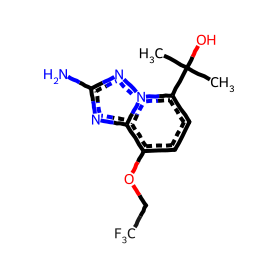 CC(C)(O)c1ccc(OCC(F)(F)F)c2nc(N)nn12